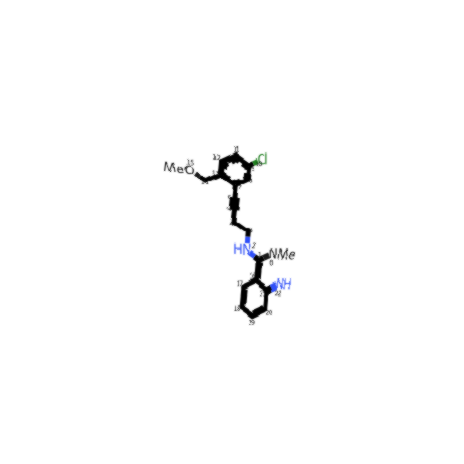 CN/C(NCCC#Cc1cc(Cl)ccc1COC)=C1/C=CC=CC1=N